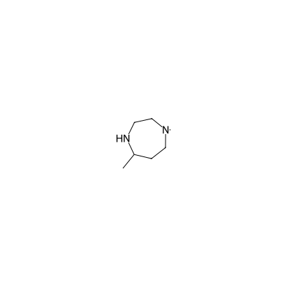 CC1CC[N]CCN1